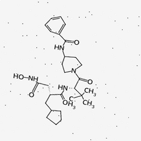 CC(C)(C)[C@H](NC(=O)[C@@H](CC(=O)NO)CC1CCCC1)C(=O)N1CCC(NC(=O)c2ccccc2)CC1